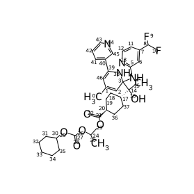 CC1=CC(Nc2cc(C(F)F)ccn2)(C(C)(O)[C@H]2CC[C@H](C(=O)OC(C)OC(=O)OC3CCCCC3)CC2)NC(c2cccnc2)=C1